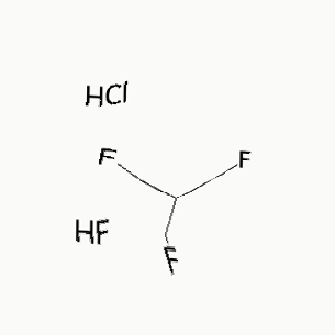 Cl.F.FC(F)F